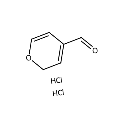 Cl.Cl.O=CC1=CCOC=C1